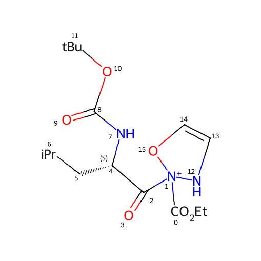 CCOC(=O)[N+]1(C(=O)[C@H](CC(C)C)NC(=O)OC(C)(C)C)NC=CO1